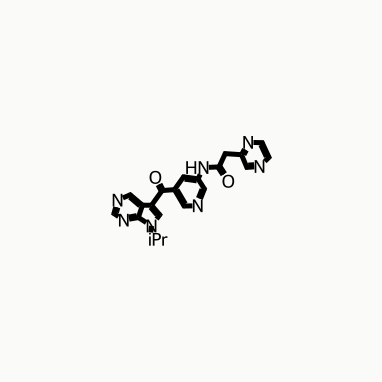 CC(C)n1cc(C(=O)c2cncc(NC(=O)Cc3cnccn3)c2)c2cncnc21